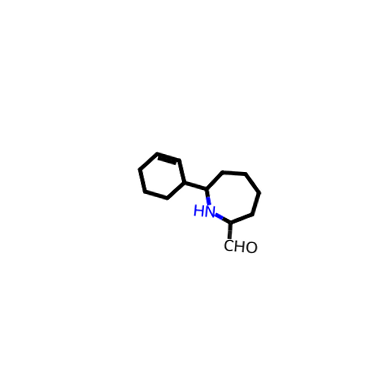 O=CC1CCCCC(C2C=CCCC2)N1